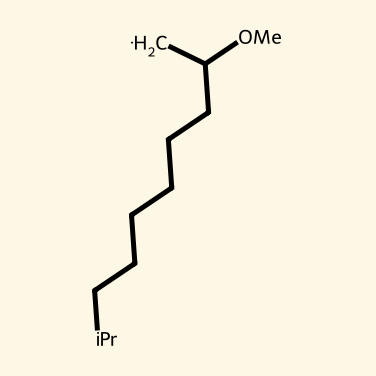 [CH2]C(CCCCCCC(C)C)OC